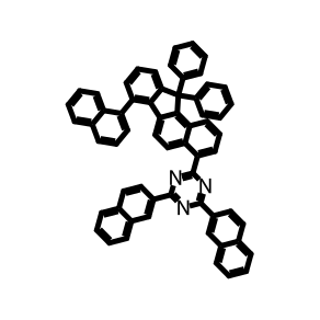 c1ccc(C2(c3ccccc3)c3cccc(-c4cccc5ccccc45)c3-c3ccc4c(-c5nc(-c6ccc7ccccc7c6)nc(-c6ccc7ccccc7c6)n5)cccc4c32)cc1